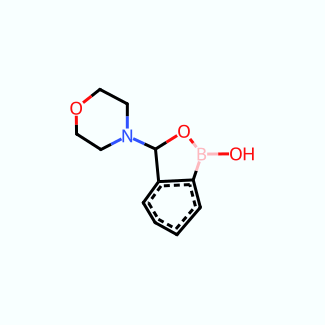 OB1OC(N2CCOCC2)c2ccccc21